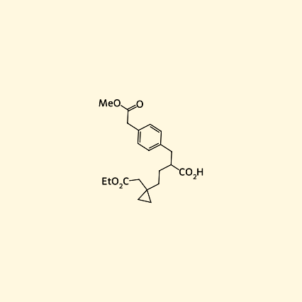 CCOC(=O)CC1(CCC(Cc2ccc(CC(=O)OC)cc2)C(=O)O)CC1